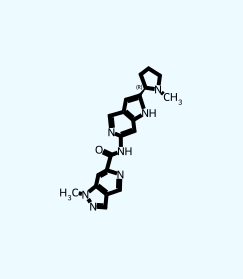 CN1CCC[C@@H]1c1cc2cnc(NC(=O)c3cc4c(cn3)cnn4C)cc2[nH]1